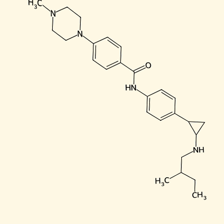 CCC(C)CNC1CC1c1ccc(NC(=O)c2ccc(N3CCN(C)CC3)cc2)cc1